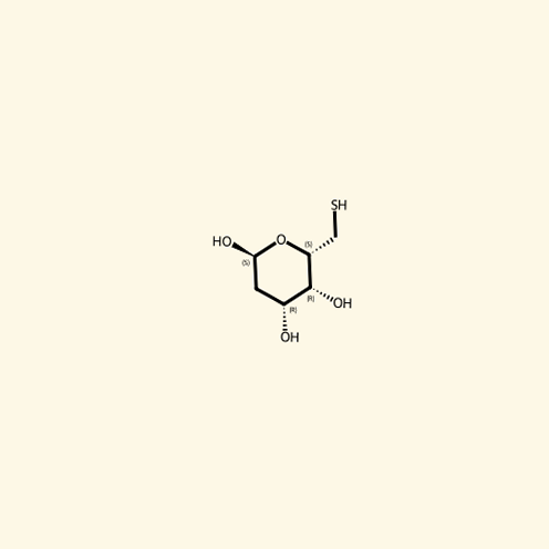 O[C@@H]1[C@H](O)C[C@@H](O)O[C@@H]1CS